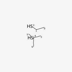 CCS.C[SiH](C)C